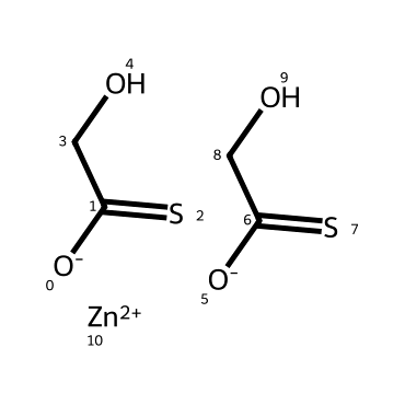 [O-]C(=S)CO.[O-]C(=S)CO.[Zn+2]